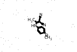 COc1ccc(NC(C)=C(C#N)C#N)cc1